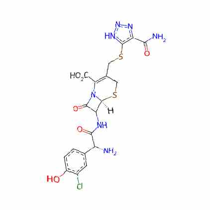 NC(=O)c1nn[nH]c1SCC1=C(C(=O)O)N2C(=O)C(NC(=O)C(N)c3ccc(O)c(Cl)c3)[C@@H]2SC1